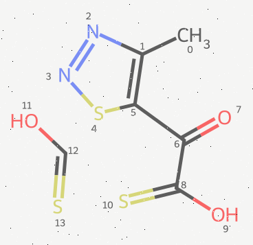 Cc1nnsc1C(=O)C(O)=S.OC=S